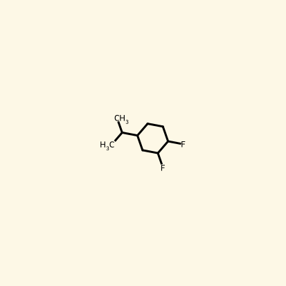 CC(C)C1CCC(F)C(F)C1